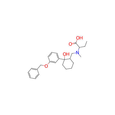 CCC(C(=O)O)N(C)CC1CCCCC1(O)c1cccc(OCc2ccccc2)c1